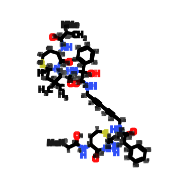 CNCC(=O)N[C@H]1CCSC(N[C@H](C(=O)NCC#CC#CCNC(=O)C(O)(NC(=O)[C@H]2N3C(=O)[C@@H](NC(=O)[C@H](C)NC)CCS[C@H]3CC2(C)C)c2ccccc2)c2ccccc2)(C(C)C)NC1=O